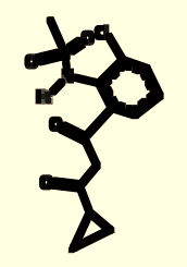 CCN(c1c(Cl)cccc1C(=O)CC(=O)C1CC1)S(C)(=O)=O